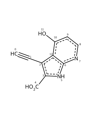 C#Cc1c(C(=O)O)[nH]c2nccc(O)c12